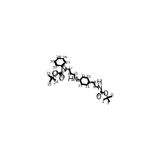 CC(C)(C)OC(=O)NCCC1CCC(NCCCN(C(=O)OC(C)(C)C)C2CCCCC2)CC1